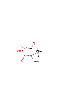 CCC(C(=O)O)(C(=O)O)[Si](C)(C)C